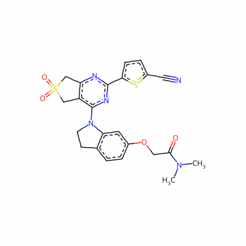 CN(C)C(=O)COc1ccc2c(c1)N(c1nc(-c3ccc(C#N)s3)nc3c1CS(=O)(=O)C3)CC2